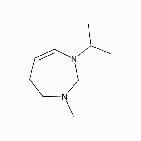 CC(C)N1C=CCCN(C)C1